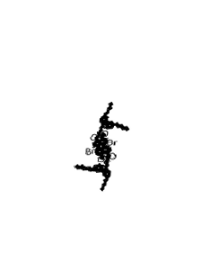 CCCCCCc1ccc2c(c1)c1cc(CCCCCC)ccc1n2CCCN1C(=O)c2ccc3c4c(Br)cc5c6c(ccc(c7c(Br)cc(c2c37)C1=O)c64)C(=O)N(CCCn1c2ccc(CCCCCC)cc2c2cc(CCCCCC)ccc21)C5=O